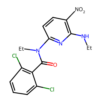 CCNc1nc(N(CC)C(=O)c2c(Cl)cccc2Cl)ccc1[N+](=O)[O-]